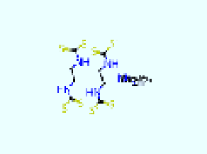 N.S=C([S-])NCCNC(=S)[S-].S=C([S-])NCCNC(=S)[S-].[Mn+2].[Zn+2]